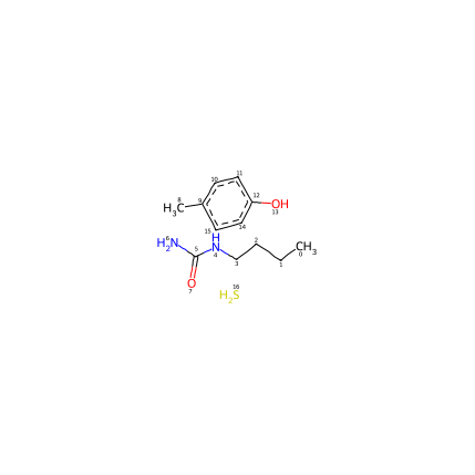 CCCCNC(N)=O.Cc1ccc(O)cc1.S